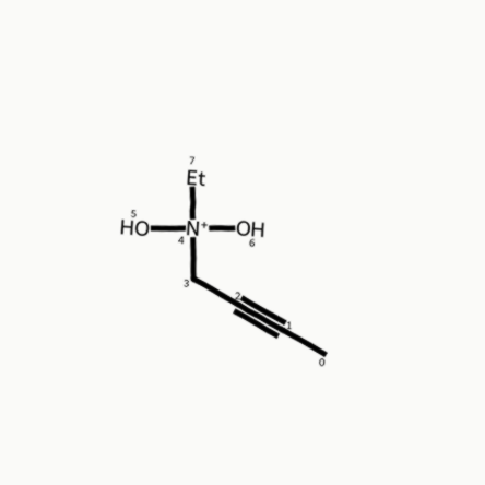 CC#CC[N+](O)(O)CC